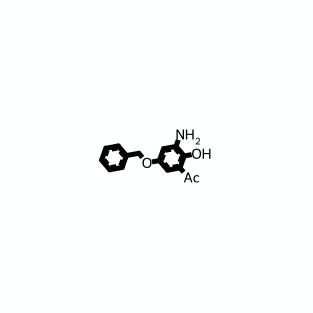 CC(=O)c1cc(OCc2ccccc2)cc(N)c1O